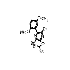 CCc1nc(OC(CC)CC)c(Br)nc1-c1cc(OC(F)(F)F)ccc1OC